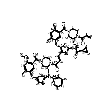 C=CC(=O)N1CCN(C(=O)c2cc(Sc3sc(NC(=O)C4CC4)nc3C=CC(=O)N3CCN(C(=O)c4cc(Sc5cnc(Nc6ccccn6)s5)c(C)cc4OC)CC3)c(C)cc2Cl)C[C@H]1CC